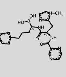 Cn1ccnc1C[C@@H](NC(=O)c1cnccn1)C(=O)N[C@@H](CCCc1ccccc1)B(O)O